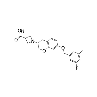 Cc1cc(F)cc(COc2ccc3c(c2)OCC(N2CC(C(=O)O)C2)C3)c1